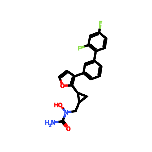 NC(=O)N(O)CC1CC1c1occc1-c1cccc(-c2ccc(F)cc2F)c1